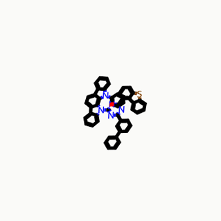 c1ccc(-c2cccc(-c3nc(-c4cccc5sc6ccccc6c45)nc(-n4c5ccccc5c5ccc6c7ccccc7n(-c7ccccc7)c6c54)n3)c2)cc1